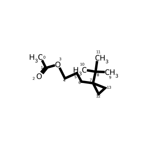 CC(=O)OCCCC1(C(C)(C)C)CC1